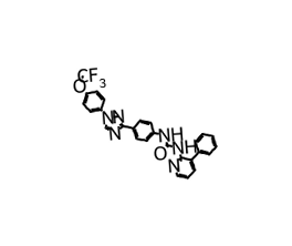 O=C(Nc1ccc(-c2ncn(-c3ccc(OC(F)(F)F)cc3)n2)cc1)Nc1ncccc1-c1ccccc1